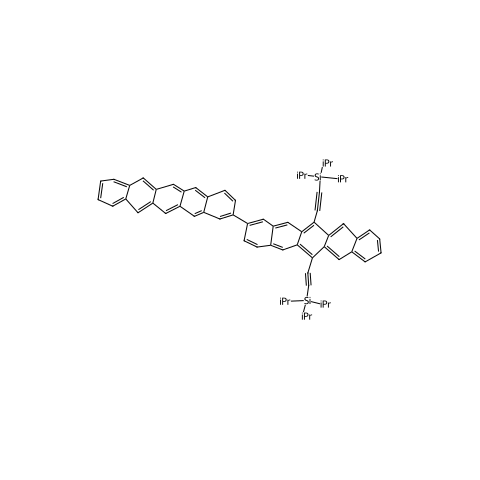 CC(C)[Si](C#Cc1c2cc3ccccc3cc2c(C#C[Si](C(C)C)(C(C)C)C(C)C)c2cc3cc(-c4ccc5cc6cc7cc8ccccc8cc7cc6cc5c4)ccc3cc12)(C(C)C)C(C)C